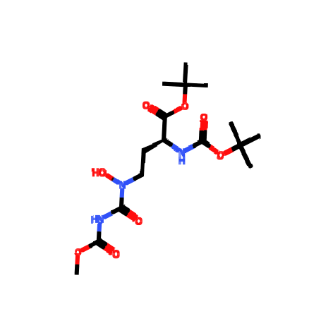 COC(=O)NC(=O)N(O)CC[C@H](NC(=O)OC(C)(C)C)C(=O)OC(C)(C)C